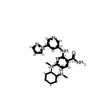 CNC1CCCC[C@H]1N(C)c1ccc(C(N)=O)c(Nc2cncc(-n3cccn3)c2)n1